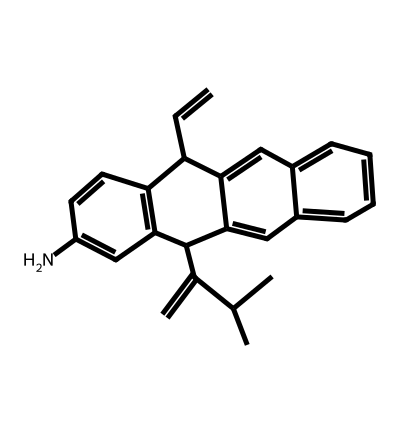 C=CC1c2ccc(N)cc2C(C(=C)C(C)C)c2cc3ccccc3cc21